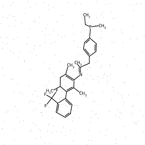 CCP(C)c1ccc(C/C(C)=N/C2=C(C)CC(C)C(c3ccccc3C(F)(F)F)=C2C)cc1